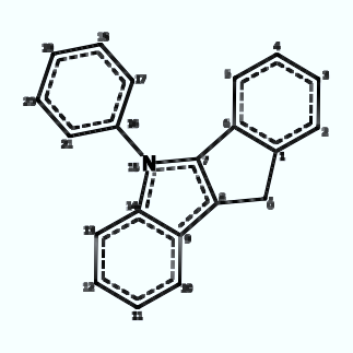 [CH]1c2ccccc2-c2c1c1ccccc1n2-c1ccccc1